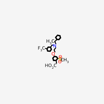 CC(CN(CCCOc1ccc(CC(=O)O)c(S(C)(=O)=O)c1)Cc1cccc(C(F)(F)F)c1)c1ccccc1